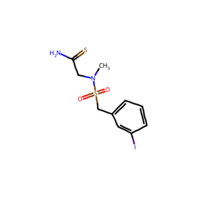 CN(CC(N)=S)S(=O)(=O)Cc1cccc(I)c1